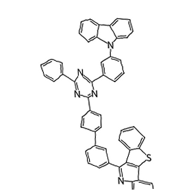 c1ccc(-c2nc(-c3ccc(-c4cccc(-c5nc6ccccc6c6sc7ccccc7c56)c4)cc3)nc(-c3cccc(-n4c5ccccc5c5ccccc54)c3)n2)cc1